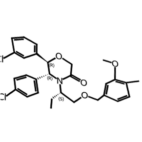 CC[C@@H](COCc1ccc(C)c(OC)c1)N1C(=O)CO[C@H](c2cccc(Cl)c2)[C@H]1c1ccc(Cl)cc1